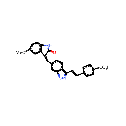 COc1ccc2c(c1)C(=Cc1ccc3c(C=Cc4ccc(C(=O)O)cc4)n[nH]c3c1)C(=O)N2